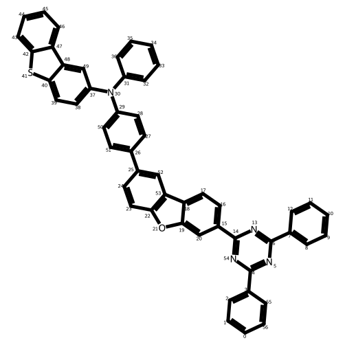 c1ccc(-c2nc(-c3ccccc3)nc(-c3ccc4c(c3)oc3ccc(-c5ccc(N(c6ccccc6)c6ccc7sc8ccccc8c7c6)cc5)cc34)n2)cc1